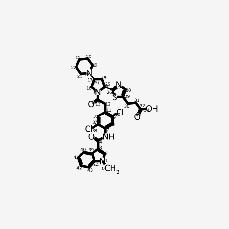 Cn1cc(C(=O)Nc2cc(Cl)c(CC(=O)N3C[C@@H](N4CCCCC4)C[C@H]3c3ncc(CCC(=O)O)s3)cc2Cl)c2ccccc21